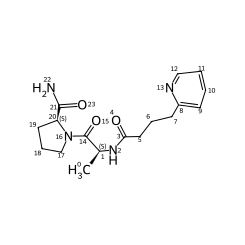 C[C@H](NC(=O)CCCc1ccccn1)C(=O)N1CCC[C@H]1C(N)=O